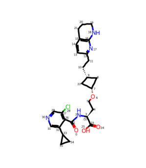 O=C(N[C@@H](CCO[C@H]1C[C@@H](CCc2ccc3c(n2)NCCC3)C1)C(=O)O)c1c(Cl)cncc1C1CC1